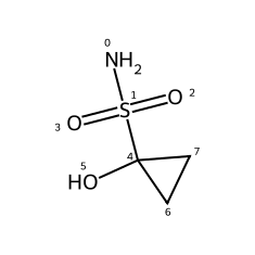 NS(=O)(=O)C1(O)CC1